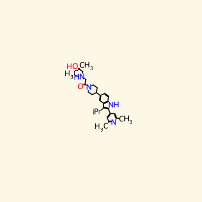 Cc1cc(-c2[nH]c3ccc(C4CCN(C(=O)CNCC(C)(C)O)CC4)cc3c2C(C)C)cc(C)n1